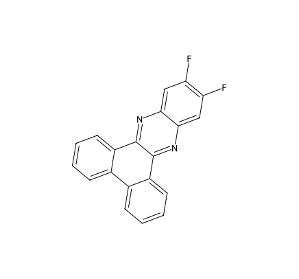 Fc1cc2nc3c4ccccc4c4ccccc4c3nc2cc1F